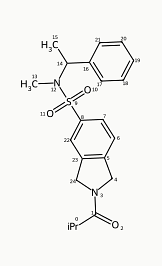 CC(C)C(=O)N1Cc2ccc(S(=O)(=O)N(C)C(C)c3ccccc3)cc2C1